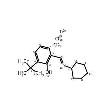 CC(C)(C)c1cccc(C=NC2CCCCC2)c1O.[Cl-].[Cl-].[Ti+2]